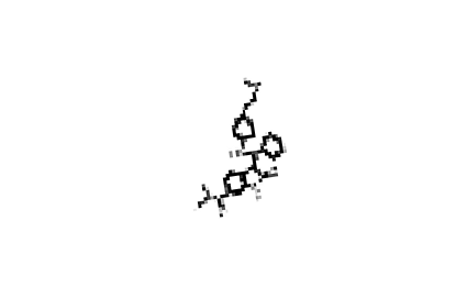 CCN(C)C(=O)c1ccc2c(c1)NC(=O)C2=C(Nc1ccc(CCN(C)C)cc1)c1ccccc1